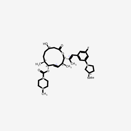 CN[C@@H]1CCN(c2cc(F)cc(/C=C(\C)[C@H]3OC(=O)C[C@H](O)CC[C@H](C)[C@@H](OC(=O)N4CCN(C)CC4)/C=C/[C@@H]3C)c2)C1